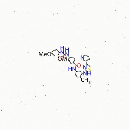 COc1ccc(NC(=O)Nc2ccc(C(=O)Nc3ccc(C)c(Nc4nc(-c5cccnc5)cs4)c3)cc2)c(OC)c1